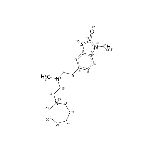 CN(CCc1ccc2c(c1)sc(=O)n2C)CCN1CCCCCC1